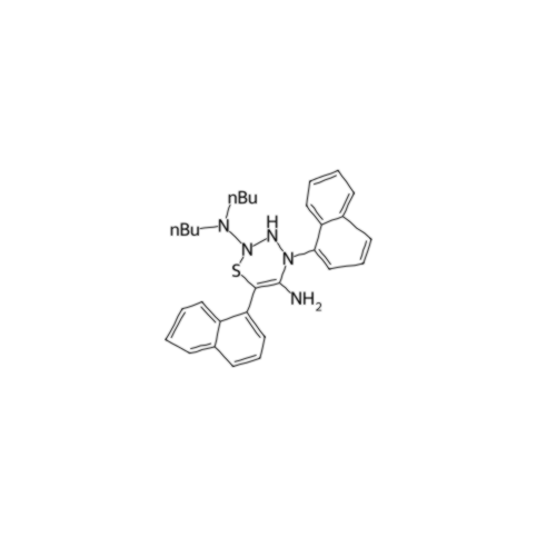 CCCCN(CCCC)n1[nH]n(-c2cccc3ccccc23)c(N)c(-c2cccc3ccccc23)s1